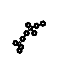 c1ccc(-c2ccc(C3c4ccccc4N(c4ccc(-c5ccc(-n6c7ccccc7c7c8ccccc8ccc76)cc5)cc4)C3c3ccccc3)cc2)cc1